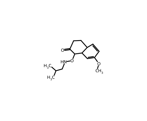 COC1=CC2C(C=C1)CCC(=O)C2ONCC(C)C